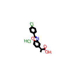 CC(C(=O)O)c1ccc2oc(-c3ccc(Cl)cc3)nc2c1.Cl